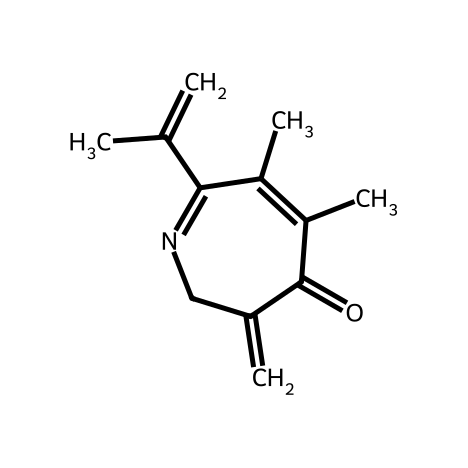 C=C(C)C1=NCC(=C)C(=O)C(C)=C1C